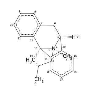 CCC[N@+]1(C)[C@H]2Cc3ccccc3[C@]1(C)c1ccccc12